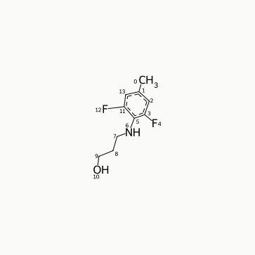 Cc1cc(F)c(NCCCO)c(F)c1